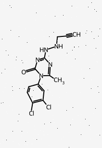 C#CCNNc1nc(C)n(-c2ccc(Cl)c(Cl)c2)c(=O)n1